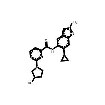 Cn1cc2cc(NC(=O)c3ccnc(N4CCC(O)C4)n3)c(C3CC3)cc2n1